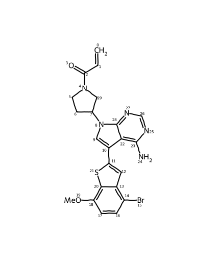 C=CC(=O)N1CCC(n2cc(-c3cc4c(Br)ccc(OC)c4s3)c3c(N)ncnc32)C1